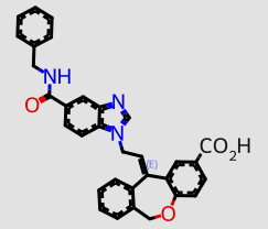 O=C(O)c1ccc2c(c1)/C(=C/Cn1cnc3cc(C(=O)NCc4ccccc4)ccc31)c1ccccc1CO2